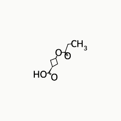 CCC(=O)O[C@H]1C[C@@H](C(=O)O)C1